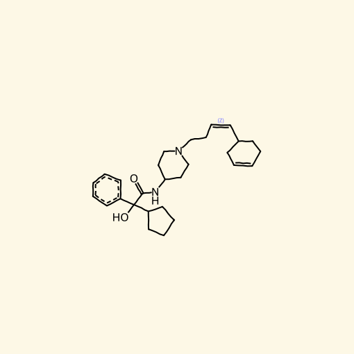 O=C(NC1CCN(CC/C=C\C2CC=CCC2)CC1)C(O)(c1ccccc1)C1CCCC1